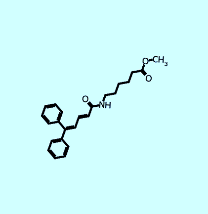 COC(=O)CCCCCNC(=O)C=CC=C(c1ccccc1)c1ccccc1